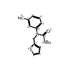 CCCCC(=O)N(Cc1cccs1)c1cccc(C#N)c1